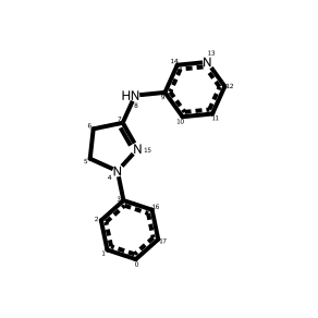 c1ccc(N2CCC(Nc3cccnc3)=N2)cc1